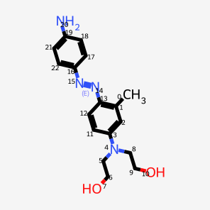 Cc1cc(N(CCO)CCO)ccc1/N=N/c1ccc(N)cc1